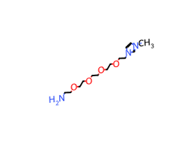 C[n+]1ccn(CCOCCOCCOCCOCCN)c1